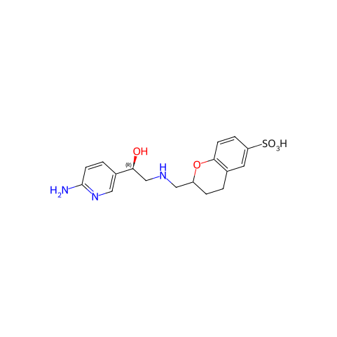 Nc1ccc([C@@H](O)CNCC2CCc3cc(S(=O)(=O)O)ccc3O2)cn1